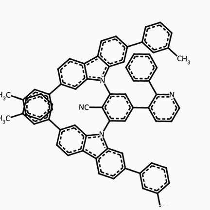 Cc1cccc(-c2ccc3c4ccc(-c5cccc(C)c5)cc4n(-c4cc(-c5cccnc5-c5ccccc5)cc(-n5c6cc(-c7cccc(C)c7)ccc6c6ccc(-c7cccc(C)c7)cc65)c4C#N)c3c2)c1